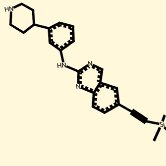 C[Si](C)(C)C#Cc1ccc2nc(Nc3cccc(C4CCNCC4)c3)ncc2c1